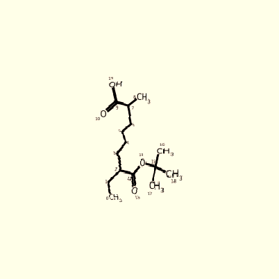 CCC(CCCCC(C)C(=O)O)C(=O)OC(C)(C)C